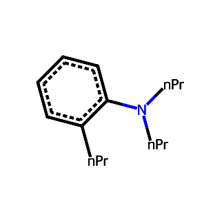 CCCc1ccccc1N(CCC)CCC